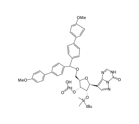 COc1ccc(-c2ccc(C(OC[C@H]3O[C@@H](c4cnn5c(=O)[nH]cnc45)[C@H](O[Si](C)(C)C(C)(C)C)[C@@H]3O[PH](=O)O)c3ccc(-c4ccc(OC)cc4)cc3)cc2)cc1